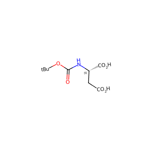 CC(C)(C)OC(=O)N[C@@H](CC(=O)O)C(=O)O